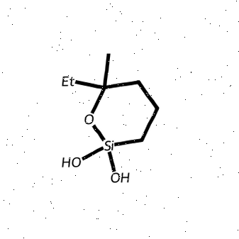 CCC1(C)CCC[Si](O)(O)O1